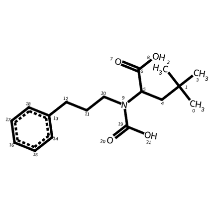 CC(C)(C)CC(C(=O)O)N(CCCc1ccccc1)C(=O)O